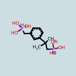 CC(C)(C[PH](O)(O)O)c1[c]c(C[PH](O)(O)O)ccc1